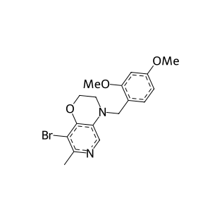 COc1ccc(CN2CCOc3c2cnc(C)c3Br)c(OC)c1